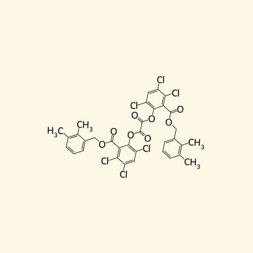 Cc1cccc(COC(=O)c2c(Cl)c(Cl)cc(Cl)c2OC(=O)C(=O)Oc2c(Cl)cc(Cl)c(Cl)c2C(=O)OCc2cccc(C)c2C)c1C